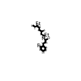 C=C/C(=C\C=C(/C)C/C(CC)=N/C(C)=C\Cc1ccccc1F)CC